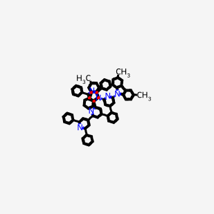 Cc1ccc2c(c1)c1ccccc1n2-c1cc(-c2ccccc2-c2cc(-c3cc(-c4ccccc4)nc(-c4ccccc4)c3)nc(-c3cc(-c4ccccc4)nc(-c4ccccc4)c3)c2)cc(-n2c3ccc(C)cc3c3cc(C)ccc32)n1